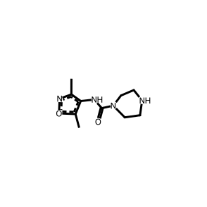 Cc1noc(C)c1NC(=O)N1CCNCC1